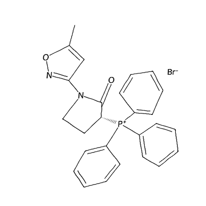 Cc1cc(N2CC[C@@H]([P+](c3ccccc3)(c3ccccc3)c3ccccc3)C2=O)no1.[Br-]